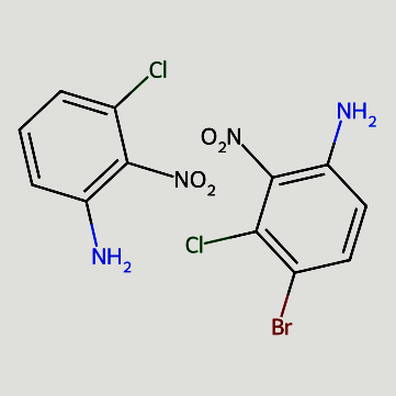 Nc1ccc(Br)c(Cl)c1[N+](=O)[O-].Nc1cccc(Cl)c1[N+](=O)[O-]